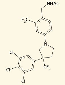 CC(=O)NCc1ccc(N2CCC(c3cc(Cl)c(Cl)c(Cl)c3)(C(F)(F)F)C2)cc1C(F)(F)F